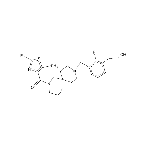 Cc1sc(C(C)C)nc1C(=O)N1CCOC2(CCN(Cc3cccc(CCO)c3F)CC2)C1